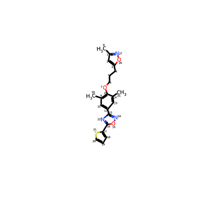 Cc1cc(CCCOc2c(C)cc(-c3noc(-c4cccs4)n3)cc2C)on1